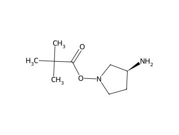 CC(C)(C)C(=O)ON1CC[C@H](N)C1